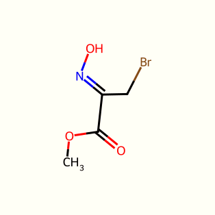 COC(=O)C(CBr)=NO